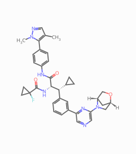 Cc1cnn(C)c1-c1ccc(NC(=O)[C@@H](NC(=O)C2(F)CC2)[C@@H](c2cccc(-c3cncc(N4C[C@@H]5C[C@H]4CO5)n3)c2)C2CC2)cc1